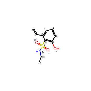 C=Cc1cccc(O)c1S(=O)(=O)NCC